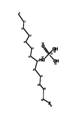 CCCCCCCCCCCC[CH2][K].O=P(O)(O)O